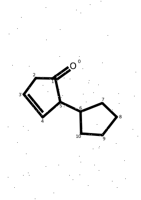 O=C1CC=CC1C1CCCC1